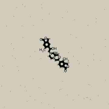 Cc1cc2c(cc1C(O)CN1CCN3C[C@@H](c4ccc5c(c4C)COC5=O)OC[C@@H]3C1)COC2=O